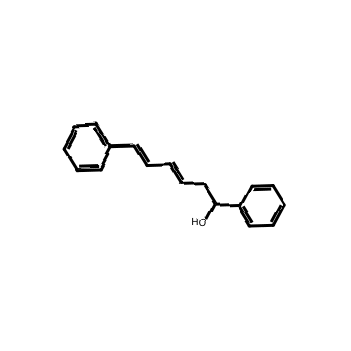 OC(CC=CC=Cc1ccccc1)c1ccccc1